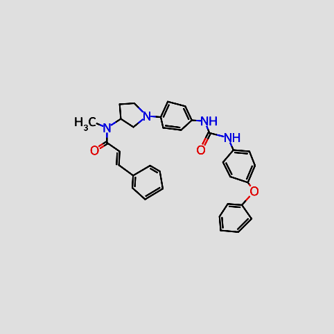 CN(C(=O)C=Cc1ccccc1)C1CCN(c2ccc(NC(=O)Nc3ccc(Oc4ccccc4)cc3)cc2)C1